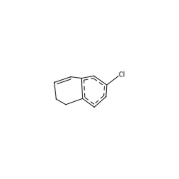 Clc1ccc2c(c1)[C]=CCC2